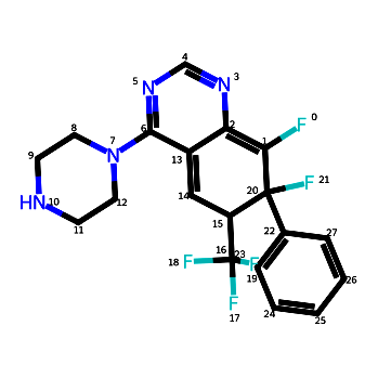 FC1=c2ncnc(N3CCNCC3)c2=CC(C(F)(F)F)C1(F)c1ccccc1